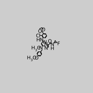 COc1ccc(CN(C)c2cc(Nc3cccc(C4OCCO4)c3Cl)nn3c(C(=O)N[C@@H]4C[C@@H]4F)cnc23)cc1